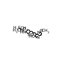 COc1ccc2ncc(O)c(C[C@@H](O)CC3CCC(NC(=O)OC(C)(C)C)CC3)c2n1